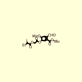 CCC(I)C(=O)OCC(=O)OC1C2CC(C(C=O)C2C(=O)OC(C)(C)C)C1OC